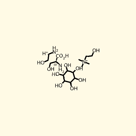 C[N+](C)(C)CCO.NCCO.N[C@@H](CO)C(=O)O.OC1C(O)C(O)C(O)C(O)C1O.[H+]